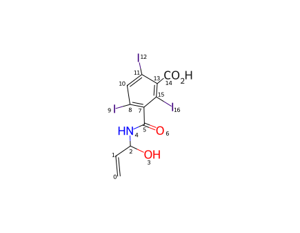 C=CC(O)NC(=O)c1c(I)cc(I)c(C(=O)O)c1I